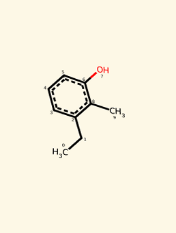 CCc1cc[c]c(O)c1C